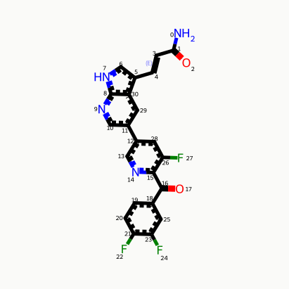 NC(=O)/C=C/c1c[nH]c2ncc(-c3cnc(C(=O)c4ccc(F)c(F)c4)c(F)c3)cc12